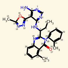 CCC(Nc1ncnc(N)c1-c1nnc(C)o1)c1nc2cccc(C)c2c(=O)n1-c1ccccc1C